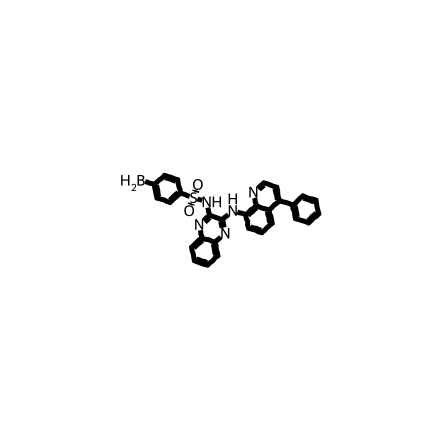 Bc1ccc(S(=O)(=O)Nc2nc3ccccc3nc2Nc2cccc3c(-c4ccccc4)ccnc23)cc1